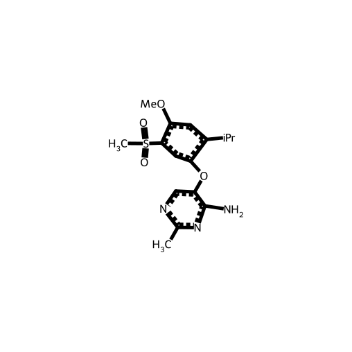 COc1cc(C(C)C)c(Oc2cnc(C)nc2N)cc1S(C)(=O)=O